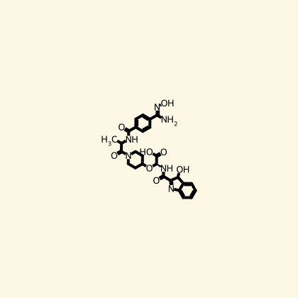 CC(NC(=O)c1ccc(/C(N)=N/O)cc1)C(=O)N1CCC(O[C@H](NC(=O)C2=Nc3ccccc3C2O)C(=O)O)CC1